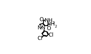 NC(=O)c1cnn(-c2cc(Cl)cc(Cl)c2)c1C(N)=O